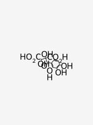 O=C(O)C(O)C(O)(C(=O)O)C(=O)c1ccc(O)c(O)c1O